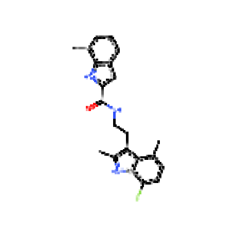 Cc1[nH]c2c(F)ccc(C)c2c1CCNC(=O)c1cc2cccc(C)c2[nH]1